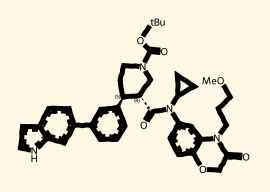 COCCCN1C(=O)COc2ccc(N(C(=O)[C@H]3CN(C(=O)OC(C)(C)C)CC[C@@H]3c3cccc(-c4ccc5cc[nH]c5c4)c3)C3CC3)cc21